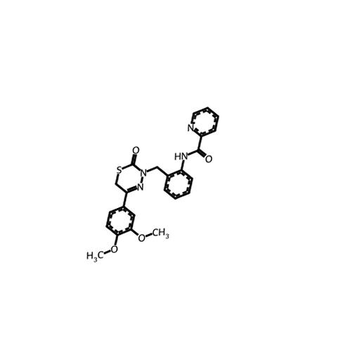 COc1ccc(C2=NN(Cc3ccccc3NC(=O)c3ccccn3)C(=O)SC2)cc1OC